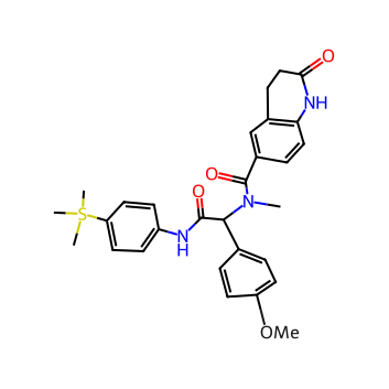 COc1ccc(C(C(=O)Nc2ccc(S(C)(C)C)cc2)N(C)C(=O)c2ccc3c(c2)CCC(=O)N3)cc1